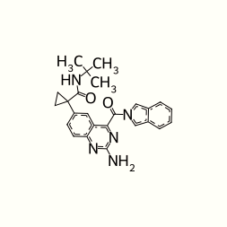 CC(C)(C)NC(=O)C1(c2ccc3nc(N)nc(C(=O)n4cc5ccccc5c4)c3c2)CC1